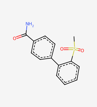 CS(=O)(=O)c1ccccc1-c1ccc(C(N)=O)cc1